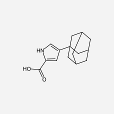 O=C(O)c1cc(C23CC4CC(CC(C4)C2)C3)c[nH]1